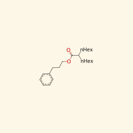 CCCCCCC(CCCCCC)C(=O)OCCCc1ccccc1